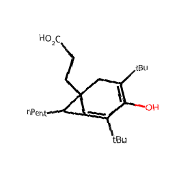 CCCCCC1C2=C(C(C)(C)C)C(O)=C(C(C)(C)C)CC21CCC(=O)O